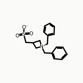 O=S(=O)([O-])CC1C[N+](Cc2ccccc2)(Cc2ccccc2)C1